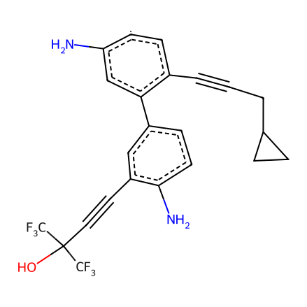 Nc1[c]cc(C#CCC2CC2)c(-c2ccc(N)c(C#CC(O)(C(F)(F)F)C(F)(F)F)c2)c1